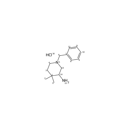 CC1(C)CCN(Cc2ccccc2)CC1N.Cl